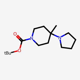 CC(C)(C)OC(=O)N1CCC(C)(N2CCCC2)CC1